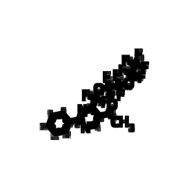 CC(=O)c1cnc(-c2ccccc2)nc1C(F)(F)OC(F)(F)C(F)(F)OC(F)(F)C(F)(F)F